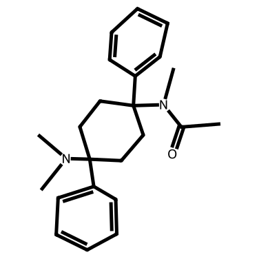 CC(=O)N(C)C1(c2ccccc2)CCC(c2ccccc2)(N(C)C)CC1